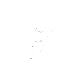 Cc1cc2c(=O)[nH]c3c(F)c(CO)ccc3n2n1